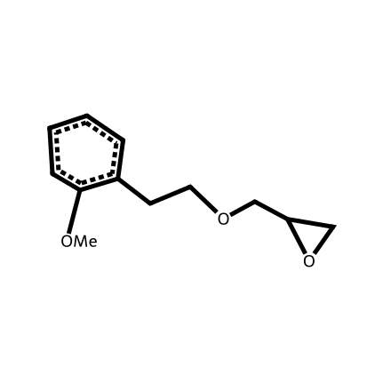 COc1ccccc1CCOCC1CO1